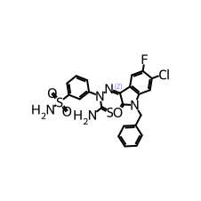 NC(=S)N(/N=C1\C(=O)N(Cc2ccccc2)c2cc(Cl)c(F)cc21)c1cccc(S(N)(=O)=O)c1